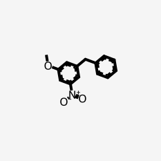 COc1cc(Cc2ccccc2)cc([N+](=O)[O-])c1